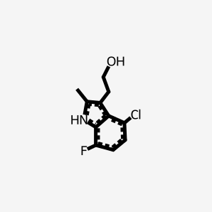 Cc1[nH]c2c(F)ccc(Cl)c2c1CCO